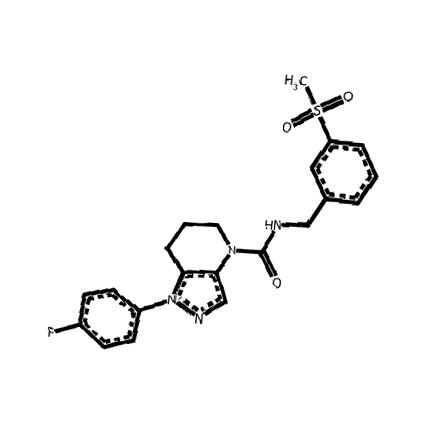 CS(=O)(=O)c1cccc(CNC(=O)N2CCCc3c2cnn3-c2ccc(F)cc2)c1